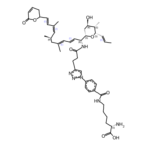 C/C=C/[C@@H]1O[C@H]([C@@H](/C=C/C=C(\C)C[C@@H](C)/C=C(C)\C=C\C2CC=CC(=O)O2)NC(=O)CCc2cn(-c3ccc(C(=O)NCCCC[C@H](N)C(=O)O)cc3)nn2)C[C@@H](O)[C@@H]1C